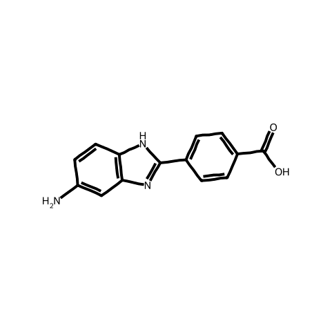 Nc1ccc2[nH]c(-c3ccc(C(=O)O)cc3)nc2c1